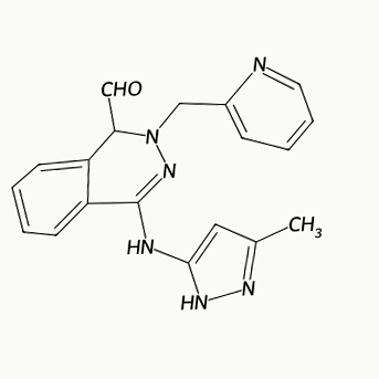 Cc1cc(NC2=NN(Cc3ccccn3)C(C=O)c3ccccc32)[nH]n1